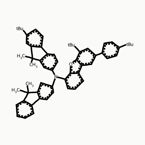 CC(C)(C)c1ccc(-c2cc(C(C)(C)C)c3oc4c(N(c5ccc6c(c5)C(C)(C)c5ccccc5-6)c5ccc6c(c5)C(C)(C)c5cc(C(C)(C)C)ccc5-6)cccc4c3c2)cc1